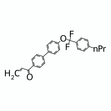 C=CC(=O)c1ccc(-c2ccc(OC(F)(F)c3ccc(CCC)cc3)cc2)cc1